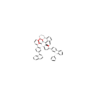 c1ccc(-c2ccc(-c3cccc4ccccc34)cc2N(c2ccc(-c3ccc4c5ccccc5n(-c5ccccc5)c4c3)cc2)c2ccccc2-c2cccc3cccc(C4CCCCC4)c23)cc1